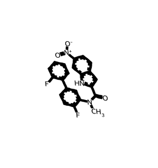 CN(C(=O)c1cc2ccc([N+](=O)[O-])cc2[nH]1)c1cc(-c2ccccc2F)ccc1F